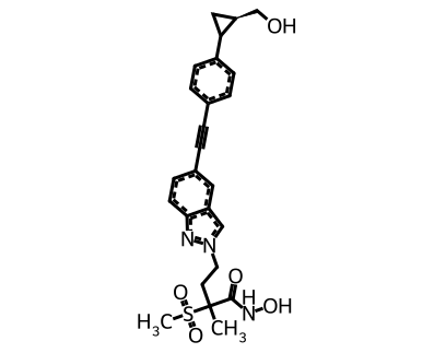 CC(CCn1cc2cc(C#Cc3ccc(C4C[C@H]4CO)cc3)ccc2n1)(C(=O)NO)S(C)(=O)=O